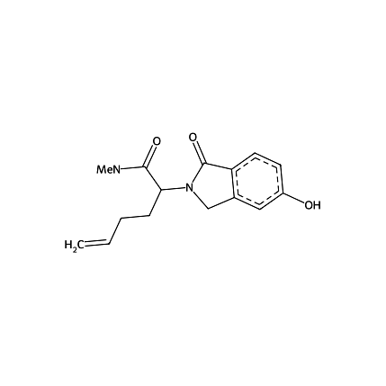 C=CCCC(C(=O)NC)N1Cc2cc(O)ccc2C1=O